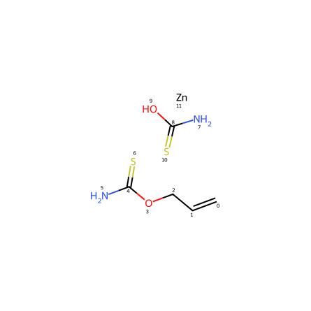 C=CCOC(N)=S.NC(O)=S.[Zn]